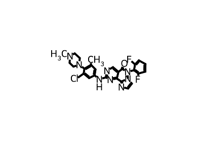 Cc1cc(Nc2ncc3c(=O)n(-c4c(F)cccc4F)n4ccnc4c3n2)cc(Cl)c1N1CCN(C)CC1